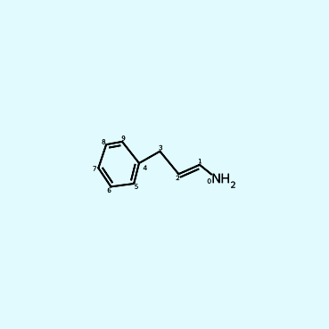 N/C=C/Cc1ccccc1